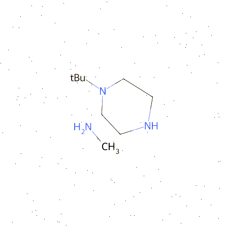 CC(C)(C)N1CCNCC1.CN